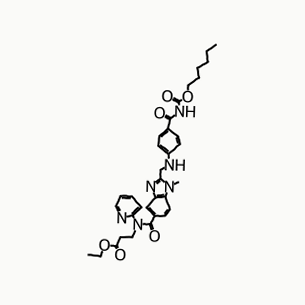 CCCCCCOC(=O)NC(=O)c1ccc(NCc2nc3cc(C(=O)N(CCC(=O)OCC)c4ccccn4)ccc3n2C)cc1